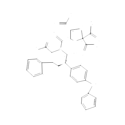 C[C@H]([C@H](CCc1ccccc1)c1ccc(Oc2ccccc2)cc1)N(CC(=O)O)C(=O)[C@H]1OC(C(=O)O)(C(=O)O)O[C@H]1C(=O)O